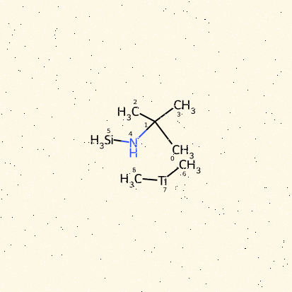 CC(C)(C)N[SiH3].[CH3][Ti][CH3]